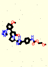 COCCOC(=O)Nc1ccc(-c2cnc([C@@H]3CCc4cc(-c5cc(OC)ccc5-n5cnnn5)cc(=O)n43)[nH]2)cc1